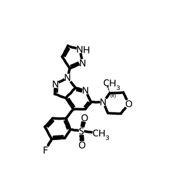 C[C@@H]1COCCN1c1cc(-c2ccc(F)cc2S(C)(=O)=O)c2cnn(-c3cc[nH]n3)c2n1